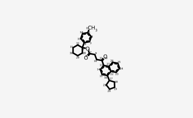 Cc1ccc(C2(OC(=O)CCC(=O)c3ccc(C4CCCC4)c4ccccc34)CCCCC2)cc1